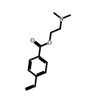 C=Cc1ccc(C(=O)OCCN(C)C)cc1